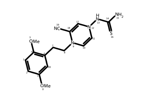 COc1ccc(OC)c(CCN2C=CN(NC(N)=S)C=C2C#N)c1